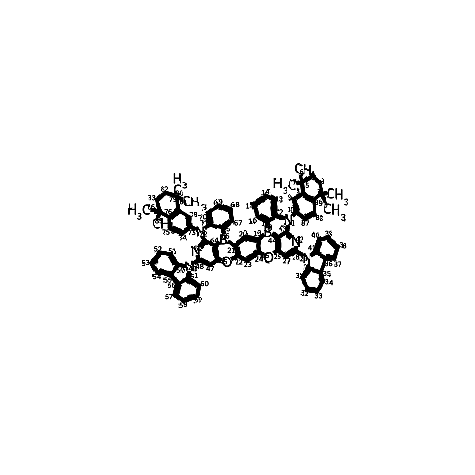 CC1(C)CCC(C)(C)c2cc(N3c4ccccc4B4c5cc6c(cc5Oc5cc(-n7c8ccccc8c8ccccc87)nc3c54)Oc3cc(-n4c5ccccc5c5ccccc54)nc4c3B6c3ccccc3N4c3ccc4c(c3)C(C)(C)CCC4(C)C)ccc21